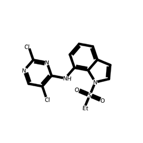 CCS(=O)(=O)n1ccc2cccc(Nc3nc(Cl)ncc3Cl)c21